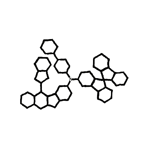 C1CCC(C2CCC(N(C3CCC4CC5CC6CCCCC6C(C6CC7CCCCC7C6)C5C4C3)C3CCC4C(C3)C3CCCCC3C43C4CCCCC4C4CCCCC43)CC2)CC1